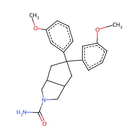 COc1cccc(C2(c3cccc(OC)c3)CC3CN(C(N)=O)CC3C2)c1